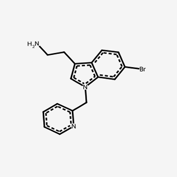 NCCc1cn(Cc2ccccn2)c2cc(Br)ccc12